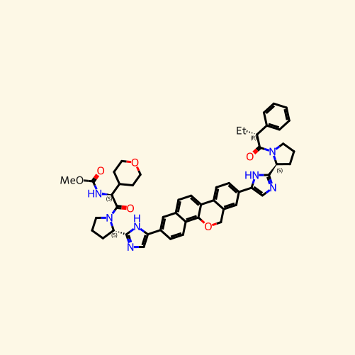 CC[C@@H](C(=O)N1CCC[C@H]1c1ncc(-c2ccc3c(c2)COc2c-3ccc3cc(-c4cnc([C@@H]5CCCN5C(=O)[C@@H](NC(=O)OC)C5CCOCC5)[nH]4)ccc23)[nH]1)c1ccccc1